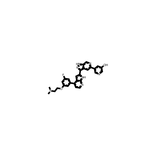 CN(C)CCOc1cc(F)cc(-c2ccnc3[nH]c(-c4n[nH]c5cnc(-c6cncc(O)c6)cc45)cc23)c1